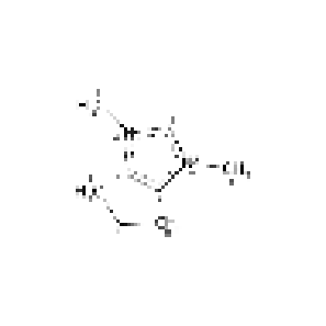 CCC.Cn1cc[n+](C)c1